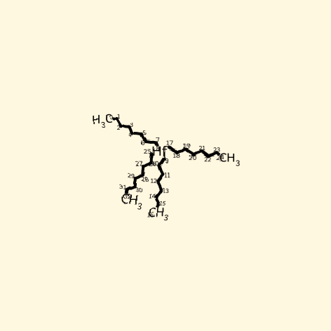 CCCCCCC[CH2][Hf]([CH2]CCCCCCC)([CH2]CCCCCCC)[CH2]CCCCCCC